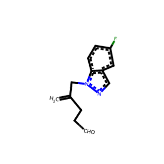 C=C(CCC=O)Cn1ncc2cc(F)ccc21